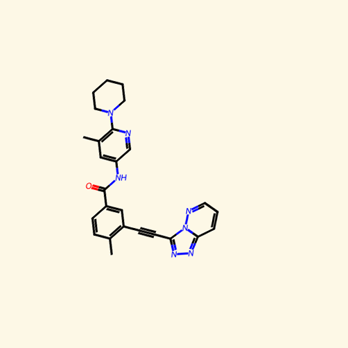 Cc1ccc(C(=O)Nc2cnc(N3CCCCC3)c(C)c2)cc1C#Cc1nnc2cccnn12